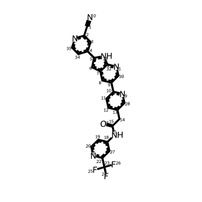 N#Cc1cc(-c2cc3cc(-c4ccc(CC(=O)Nc5ccnc(C(F)(F)F)c5)cn4)cnc3[nH]2)ccn1